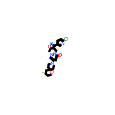 Cc1onc(-c2ccc(Cl)nc2)c1Cn1ncc(N2CCC3(CC2)C[C@@H](F)CCO3)cc1=O